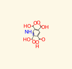 N.O=C(O)c1cc(C(=O)O)c(C(=O)O)cc1C(=O)O